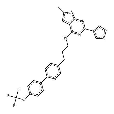 Cc1cc2c(NCCCc3ccc(-c4ccc(OC(F)(F)F)cc4)nc3)nc(-c3ccoc3)nc2s1